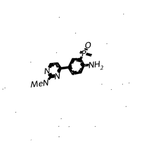 CNc1nccc(-c2ccc(N)c(P(C)(C)=O)c2)n1